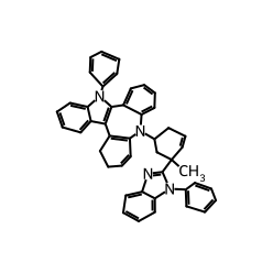 CC1(c2nc3ccccc3n2-c2ccccc2)C=CCC(N2C3=C(CCC=C3)c3c(n(-c4ccccc4)c4ccccc34)-c3ccccc32)C1